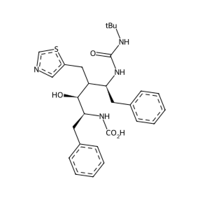 CC(C)(C)NC(=O)N[C@@H](Cc1ccccc1)C(Cc1cncs1)[C@H](O)[C@H](Cc1ccccc1)NC(=O)O